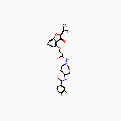 CC(C)=C1Oc2cccc(OCCC(=O)NN3CCC(NC(=O)c4ccc(Cl)c(Cl)c4)CC3)c2C1=O